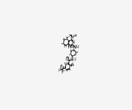 CN(C)c1nc(N[C@H]2CC[C@@H](NC(=O)c3cc(C(F)(F)F)ccc3F)CC2)nc2c1CCCC2